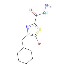 NNC(=O)c1nc(CC2CCCCC2)c(Br)s1